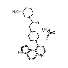 CC1CCCN(C(=O)CN2CCN(c3ccnc4cnc5[nH]ccc5c34)CC2)C1.N[SH](=O)=O